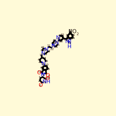 O=C1CCC(N2C(=O)c3ccc(N4CCC(CN5CCN(CCN6CCN(c7cc(-c8n[nH]c9ccc([N+](=O)[O-])cc89)ccn7)CC6)CC5)CC4)cc3C2=O)C(=O)N1